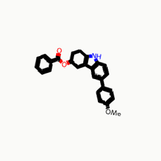 COc1ccc(-c2ccc3[nH]c4c(c3c2)CC(OC(=O)c2ccccc2)CC4)cc1